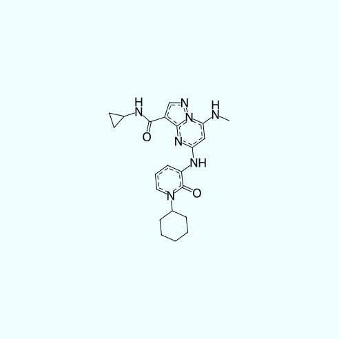 CNc1cc(Nc2cccn(C3CCCCC3)c2=O)nc2c(C(=O)NC3CC3)cnn12